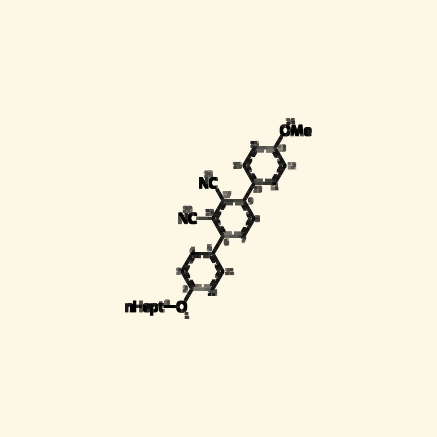 CCCCCCCOc1ccc(-c2ccc(-c3ccc(OC)cc3)c(C#N)c2C#N)cc1